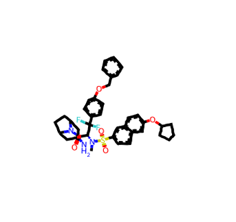 CN([C@@H](C(=O)N1C2CCC1CC(N)C2)C(F)(F)c1ccc(OCc2ccccc2)cc1)S(=O)(=O)c1ccc2cc(OC3CCCC3)ccc2c1